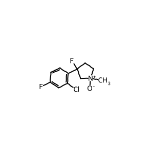 C[N+]1([O-])CCC(F)(c2ccc(F)cc2Cl)C1